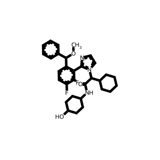 COC(c1ccccc1)c1ccc(F)c(F)c1-c1nccn1C(C(=O)NC1CCC(O)CC1)C1CCCCC1